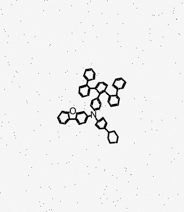 c1ccc(-c2ccccc2-c2cccc(-c3ccccc3-c3ccccc3)c2-c2ccc(N(c3ccc(C4CCCCC4)cc3)c3ccc4c(c3)oc3ccccc34)cc2)cc1